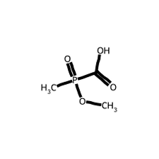 COP(C)(=O)C(=O)O